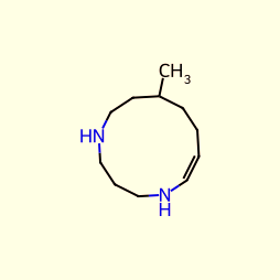 CC1CC/C=C\NCCCNCC1